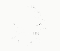 C[C@H](NC(=O)[C@@H]1C=C(c2ccc(F)cc2C(F)F)CCN1)C(=O)N[C@@H]1CCc2nc(N)ccc21